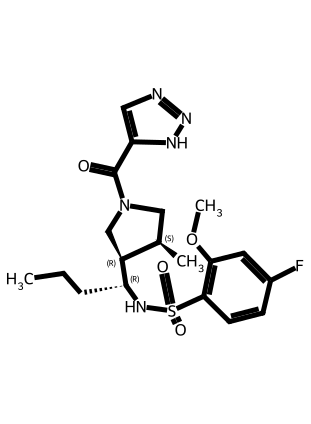 CCC[C@@H](NS(=O)(=O)c1ccc(F)cc1OC)[C@H]1CN(C(=O)c2cnn[nH]2)C[C@H]1C